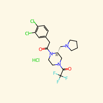 Cl.O=C(Cc1ccc(Cl)c(Cl)c1)N1CCN(C(=O)C(F)(F)F)C[C@H]1CN1CCCC1